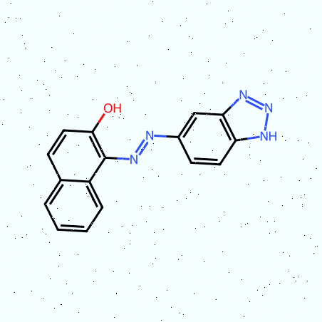 Oc1ccc2ccccc2c1/N=N/c1ccc2[nH]nnc2c1